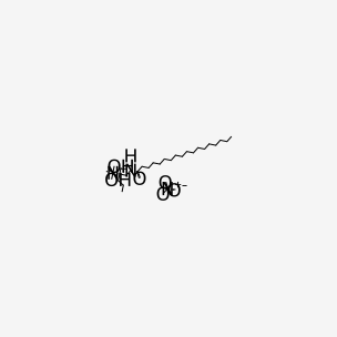 CCCCCCCCCCCCCCCCCC(=O)NCC(C)(CCC)[N+](C)(O)O.O=[N+]([O-])[O-]